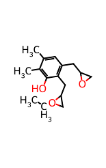 CC.Cc1cc(CC2CO2)c(CC2CO2)c(O)c1C